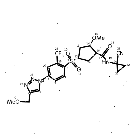 COCc1cn(-c2ccc(S(=O)(=O)[C@@H]3C[C@H](OC)[C@@H](C(=O)NC4(C#N)CC4)C3)c(C(F)(F)F)c2)nn1